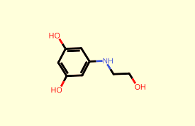 OCCNc1cc(O)cc(O)c1